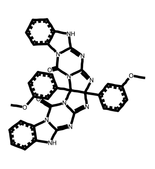 COc1cccc(C23N=C4N=C5Nc6ccccc6N5C(=O)N4C2(c2cccc(OC)c2)N2C(=O)N4C(=NC2=N3)Nc2ccccc24)c1